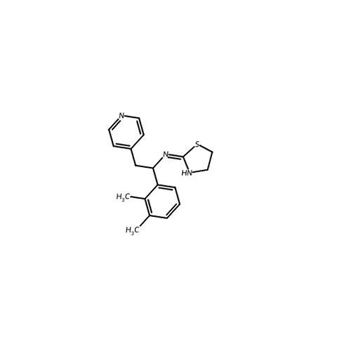 Cc1cccc(C(Cc2ccncc2)/N=C2\NCCS2)c1C